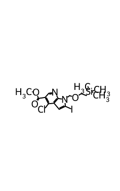 COC(=O)c1cnc2c(cc(I)n2COCC[Si](C)(C)C)c1Cl